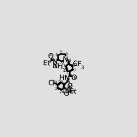 CCC(=O)N(N)C1CCCN(Cc2ccc(C(=O)NCc3cc(Cl)ccc3S(=O)(=O)CC)cc2C(F)(F)F)C1